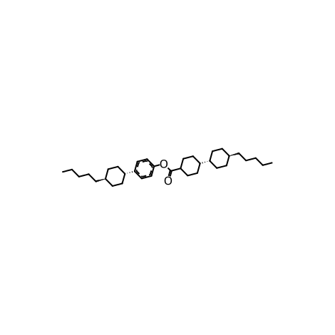 CCCCC[C@H]1CC[C@H](c2ccc(OC(=O)C3CCC([C@H]4CC[C@H](CCCCC)CC4)CC3)cc2)CC1